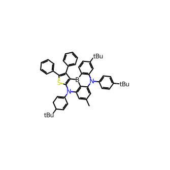 Cc1cc2c3c(c1)N(c1ccc(C(C)(C)C)cc1)c1cc(C(C)(C)C)ccc1B3c1c(sc(-c3ccccc3)c1-c1ccccc1)N2C1=CCC(C(C)(C)C)C=C1